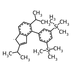 CC(C)C1=Cc2c(ccc(C(C)C)c2-c2cc([Si](C)(C)C)cc([Si](C)(C)C)c2)[CH]1